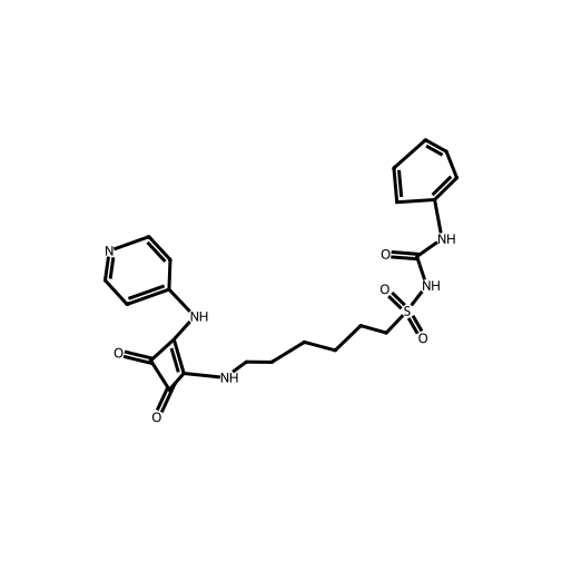 O=C(Nc1ccccc1)NS(=O)(=O)CCCCCCNc1c(Nc2ccncc2)c(=O)c1=O